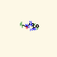 Fc1cccc(F)c1-c1n[nH]cc1-c1ccc2ncc(-c3noc(CCC(F)(F)F)n3)n2c1